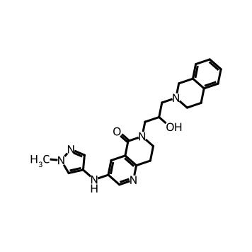 Cn1cc(Nc2cnc3c(c2)C(=O)N(CC(O)CN2CCc4ccccc4C2)CC3)cn1